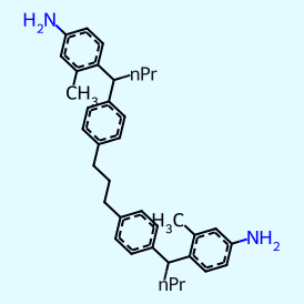 CCCC(c1ccc(CCCc2ccc(C(CCC)c3ccc(N)cc3C)cc2)cc1)c1ccc(N)cc1C